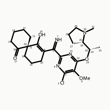 COc1c(Cl)nc(C(=N)C2=C(O)[C@]3(CCCCC3=O)CCC2)nc1O[C@@H](C)[C@@H]1CCCN1C